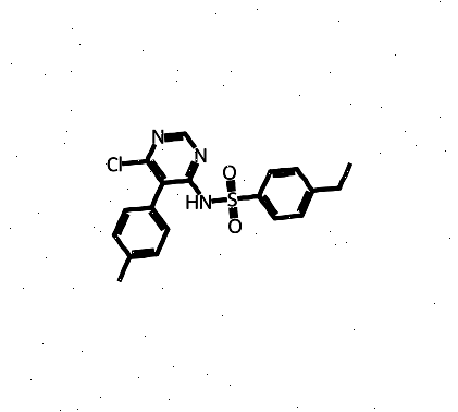 CCc1ccc(S(=O)(=O)Nc2ncnc(Cl)c2-c2ccc(C)cc2)cc1